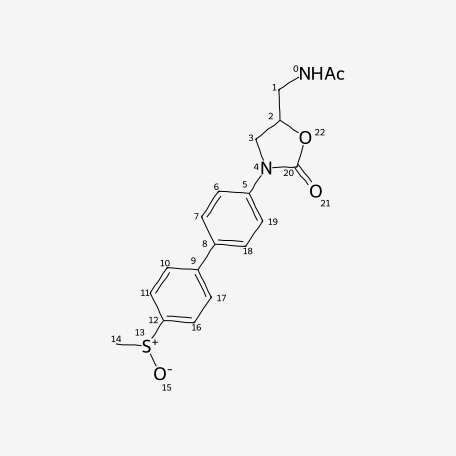 CC(=O)NCC1CN(c2ccc(-c3ccc([S+](C)[O-])cc3)cc2)C(=O)O1